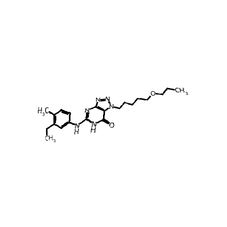 CCCOCCCCCn1nnc2nc(Nc3ccc(C)c(CC)c3)[nH]c(=O)c21